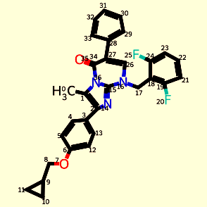 Cc1c(-c2ccc(OCC3CC3)cc2)nc2n(Cc3c(F)cccc3F)cc(-c3ccccc3)c(=O)n12